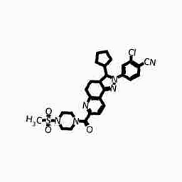 CS(=O)(=O)N1CCN(C(=O)c2ccc3c(n2)CCC2C3=NN(c3ccc(C#N)c(Cl)c3)C2C2CCCC2)CC1